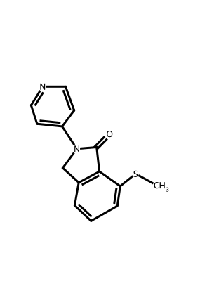 CSc1cccc2c1C(=O)N(c1ccncc1)C2